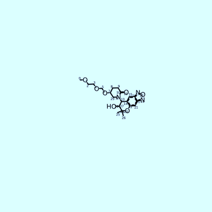 COCCOCO[C@H]1CCC(=O)N(C2c3cc4nonc4cc3OC(C)(C)C2O)C1